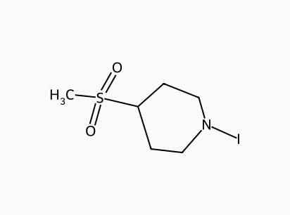 CS(=O)(=O)C1CCN(I)CC1